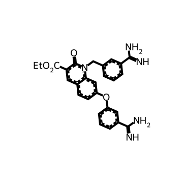 CCOC(=O)c1cc2ccc(Oc3cccc(C(=N)N)c3)cc2n(Cc2cccc(C(=N)N)c2)c1=O